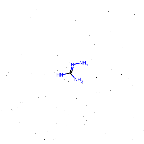 [NH]C(N)=NN